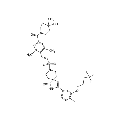 Cc1cc(C(=O)N2CCC(C)(O)CC2)cc(C)c1C=CS(=O)(=O)N1CCC2(CC1)N=C(c1ccc(F)c(OCCCC(F)(F)F)c1)NC2=O